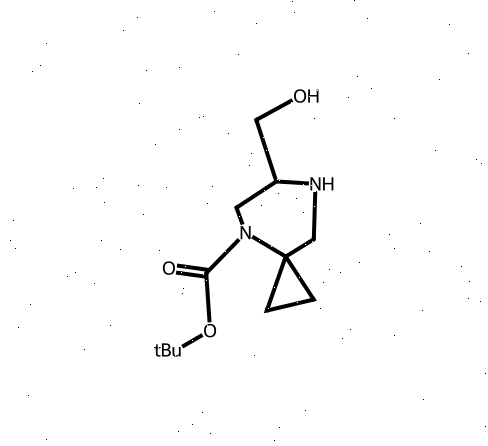 CC(C)(C)OC(=O)N1CC(CO)NCC12CC2